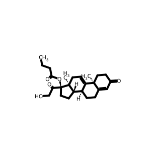 CCCC(=O)O[C@]1(C(=O)CO)CC[C@H]2[C@@H]3CCC4=CC(=O)CC[C@]4(C)C3=CC[C@@]21C